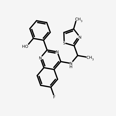 Cc1csc(C(C)Nc2nc(-c3ccccc3O)nc3ccc(F)cc23)n1